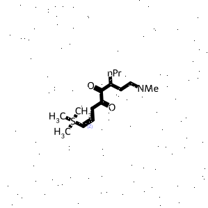 CCCC(CCNC)C(=O)C(=O)C/C=C\S(C)(C)C